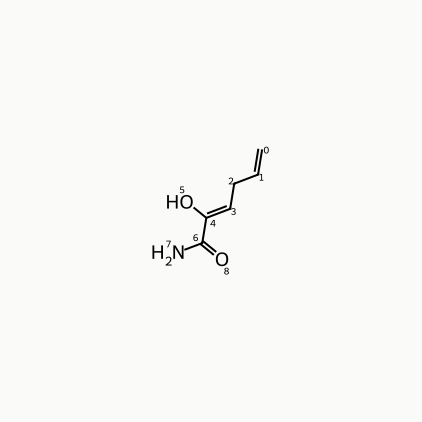 C=CCC=C(O)C(N)=O